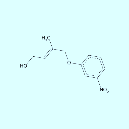 CC(=CCO)COc1cccc([N+](=O)[O-])c1